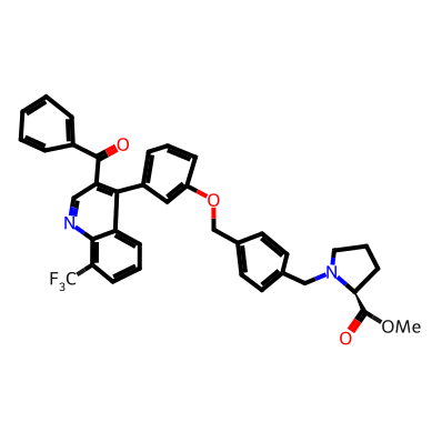 COC(=O)[C@@H]1CCCN1Cc1ccc(COc2cccc(-c3c(C(=O)c4ccccc4)cnc4c(C(F)(F)F)cccc34)c2)cc1